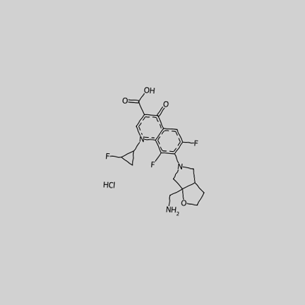 Cl.NCC12CN(c3c(F)cc4c(=O)c(C(=O)O)cn(C5CC5F)c4c3F)CC1CCO2